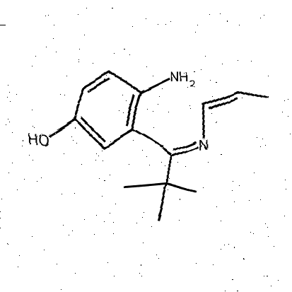 C/C=C\N=C(/c1cc(O)ccc1N)C(C)(C)C